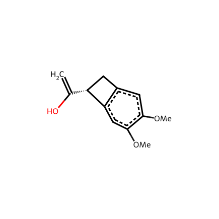 C=C(O)[C@@H]1Cc2cc(OC)c(OC)cc21